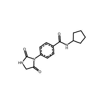 O=C(NC1CCCC1)c1ccc(N2C(=O)CNC2=O)cc1